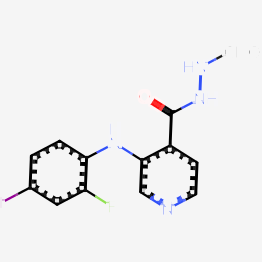 O=CNNC(=O)c1ccncc1Nc1ccc(I)cc1F